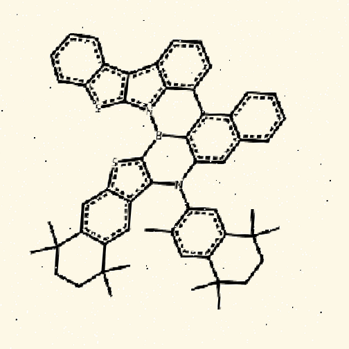 Cc1cc2c(cc1N1c3cc4ccccc4c4c3B(c3sc5cc6c(cc5c31)C(C)(C)CCC6(C)C)n1c3sc5ccccc5c3c3cccc-4c31)C(C)(C)CCC2(C)C